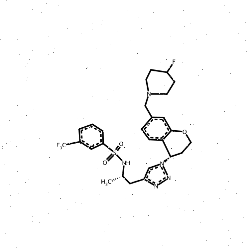 C[C@@H](Cc1cn([C@@H]2CCOc3cc(CN4CCC(F)CC4)ccc32)nn1)NS(=O)(=O)c1cccc(C(F)(F)F)c1